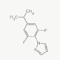 CC(C)c1cc(F)c(-n2cccn2)c(F)c1